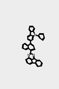 c1ccc(-n2c3ccccc3c3ccc(-c4ccc(-c5nc6c7c(cccc7n5)-c5ccccc5-6)c5ccccc45)cc32)cc1